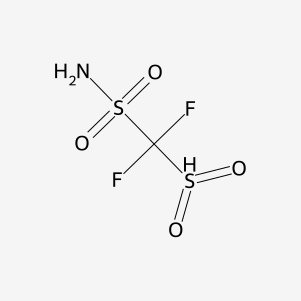 NS(=O)(=O)C(F)(F)[SH](=O)=O